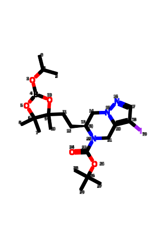 CC(C)OB1OC(C)(C)C(C)(CC[C@H]2Cn3ncc(I)c3CN2C(=O)OC(C)(C)C)O1